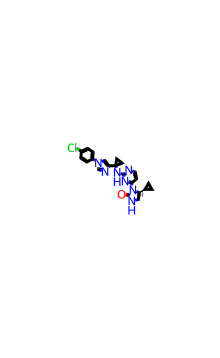 O=C1NC[C@H](C2CC2)N1c1ccnc(NC2(c3cn(-c4ccc(Cl)cc4)cn3)CC2)n1